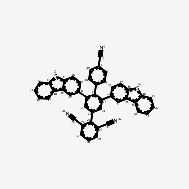 N#Cc1ccc(-c2c(-c3ccc4sc5ccccc5c4c3)cc(-c3c(C#N)cccc3C#N)cc2-c2ccc3sc4ccccc4c3c2)cc1